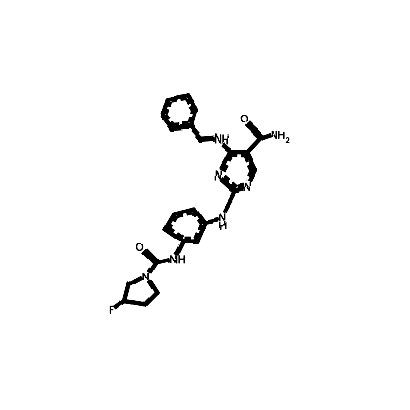 NC(=O)c1cnc(Nc2cccc(NC(=O)N3CCC(F)C3)c2)nc1NCc1ccccc1